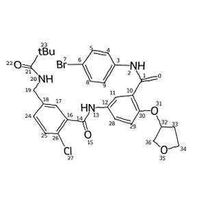 C=C(Nc1ccc(Br)cc1)c1cc(NC(=O)c2cc(CNC(=O)C(C)(C)C)ccc2Cl)ccc1OC1CCOC1